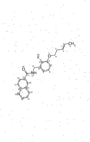 C/C=C/CCOc1cccc(CNC(=O)c2ccc3ncccc3c2)c1F